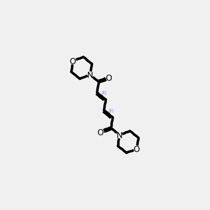 O=C(/C=C/C=C/C(=O)N1CCOCC1)N1CCOCC1